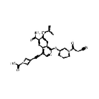 CC(C)Oc1cc2c(OC3CCCN(C(=O)CC#N)C3)ncc(C#CC3CN(C(=O)O)C3)c2cc1C(N)=O